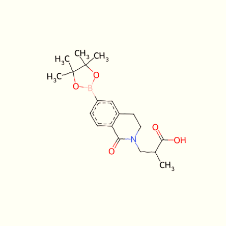 CC(CN1CCc2cc(B3OC(C)(C)C(C)(C)O3)ccc2C1=O)C(=O)O